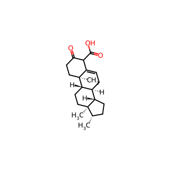 C[C@H]1CC[C@H]2[C@@H]3CC=C4C(C(=O)O)C(=O)CC[C@]4(C)[C@H]3CC[C@]12C